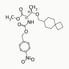 COC(=O)[C@@H](NC(=O)OCc1ccc([N+](=O)[O-])cc1)[C@@H](C)OCC1CCC2(CCC2)CC1